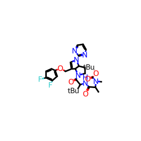 CC(C(=O)NC(C(=O)N1CCC2C1C(COc1ccc(F)c(F)c1)=CN2c1ncccn1)C(C)(C)C)N(C)C(=O)OC(C)(C)C